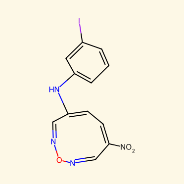 O=[N+]([O-])c1ccc(Nc2cccc(I)c2)cnonc1